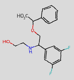 O=C(O)C(OCC(NCCO)c1cc(F)cc(F)c1)c1ccccc1